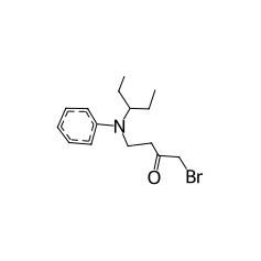 CCC(CC)N(CCC(=O)CBr)c1ccccc1